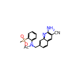 CC(=O)N(Cc1ccc2cc(C#N)c(N)nc2c1)c1ccccc1S(C)(=O)=O